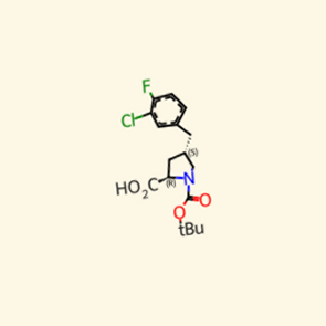 CC(C)(C)OC(=O)N1C[C@@H](Cc2ccc(F)c(Cl)c2)C[C@@H]1C(=O)O